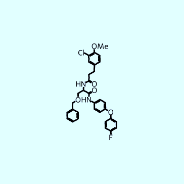 COc1ccc(CCC(=O)NC(COCc2ccccc2)C(=O)Nc2ccc(Oc3ccc(F)cc3)cc2)cc1Cl